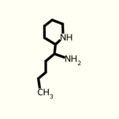 CCCCC(N)C1CCCCN1